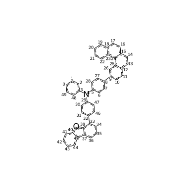 c1ccc(N(c2ccc(-c3ccc4ccc5ccc6ccccc6c5c4c3)cc2)c2ccc(-c3cccc4c3oc3ccccc34)cc2)cc1